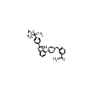 CC(C)(C)c1ccc(-c2nc3cccc(N4CCN(Cc5cc(C(N)=O)ccn5)CC4)c3[nH]2)cc1